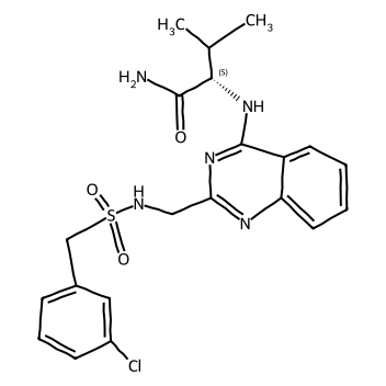 CC(C)[C@H](Nc1nc(CNS(=O)(=O)Cc2cccc(Cl)c2)nc2ccccc12)C(N)=O